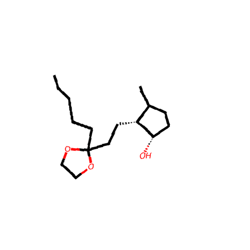 CCCCCC1(CC[C@@H]2C(C)CC[C@@H]2O)OCCO1